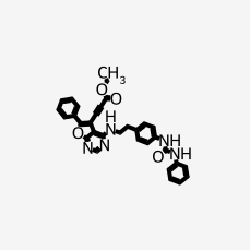 CCOC(=O)C#Cc1c(-c2ccccc2)oc2ncnc(NCCc3ccc(NC(=O)Nc4ccccc4)cc3)c12